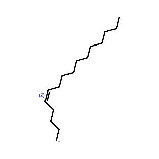 [CH2]CCC/C=C\CCCCCCCCCC